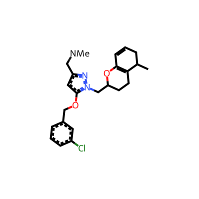 CNCc1cc(OCc2cccc(Cl)c2)n(CC2CCC3=C(C=CCC3C)O2)n1